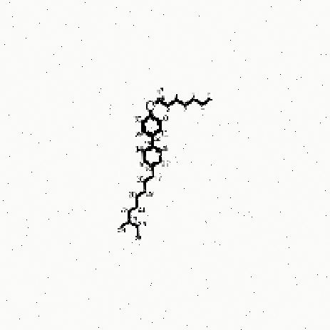 CCCCCC[C@@H](C)Oc1ccc(-c2ccc(CCCCCCC(C)CC)cc2)cc1